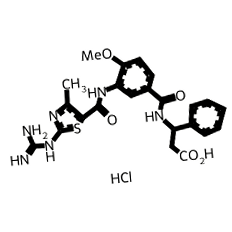 COc1ccc(C(=O)NC(CC(=O)O)c2ccccc2)cc1NC(=O)c1sc(NC(=N)N)nc1C.Cl